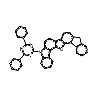 c1ccc(-c2nc(-c3ccccc3)nc(-n3c4ccccc4c4c5oc6c7c(ccc6c5ccc43)Cc3ccccc3-7)n2)cc1